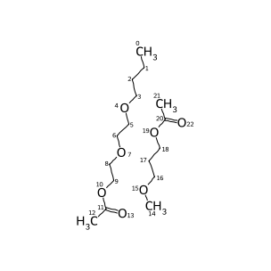 CCCCOCCOCCOC(C)=O.COCCCOC(C)=O